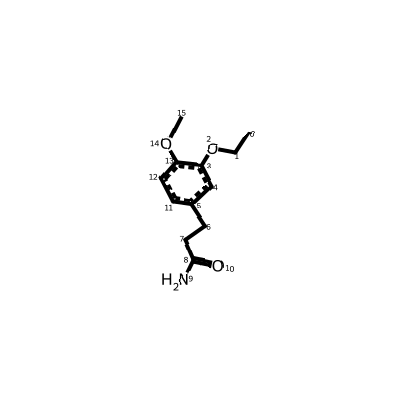 CCOc1cc(CCC(N)=O)ccc1OC